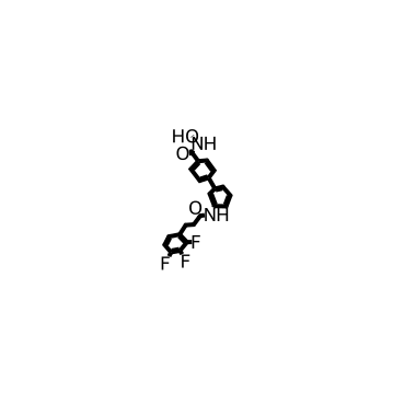 O=C(CCc1ccc(F)c(F)c1F)Nc1cccc(-c2ccc(C(=O)NO)cc2)c1